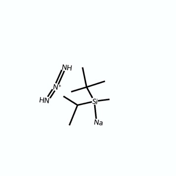 CC(C)[Si](C)([Na])C(C)(C)C.N=[N+]=N